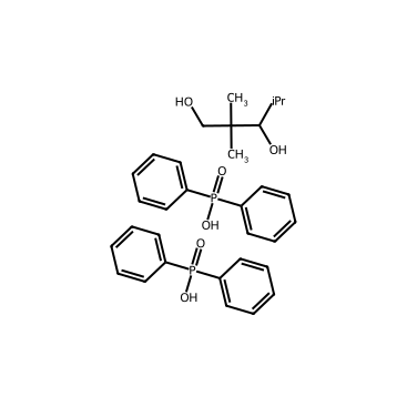 CC(C)C(O)C(C)(C)CO.O=P(O)(c1ccccc1)c1ccccc1.O=P(O)(c1ccccc1)c1ccccc1